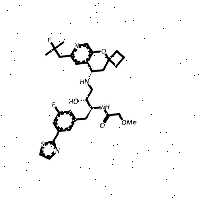 COCC(=O)N[C@@H](Cc1cc(F)cc(-c2nccs2)c1)[C@H](O)CN[C@H]1CC2(CCC2)Oc2cnc(CC(C)(C)F)cc21